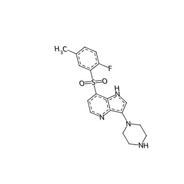 Cc1ccc(F)c(S(=O)(=O)c2ccnc3c(N4CCNCC4)c[nH]c23)c1